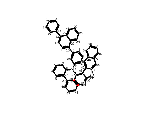 C1=CCC(N(c2cccc(-c3ccc(-c4ccccc4)c4ccccc34)c2)c2ccnc3oc4cc5ccccc5cc4c23)C(c2ccccc2)=C1